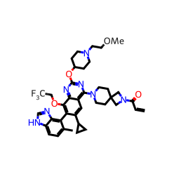 C=CC(=O)N1CC2(CCN(c3nc(OC4CCN(CCOC)CC4)nc4c(OCC(F)(F)F)c(-c5c(C)ccc6[nH]cnc56)c(C5CC5)cc34)CC2)C1